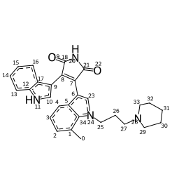 Cc1cccc2c(C3=C(c4c[nH]c5ccccc45)C(=O)NC3=O)cn(CCCN3CCCCC3)c12